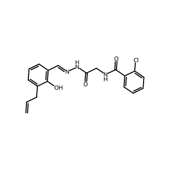 C=CCc1cccc(C=NNC(=O)CNC(=O)c2ccccc2Cl)c1O